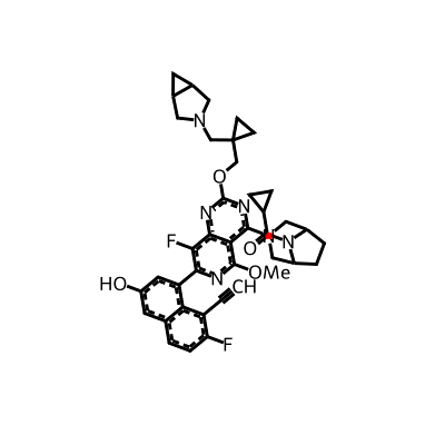 C#Cc1c(F)ccc2cc(O)cc(-c3nc(OC)c4c(N5CC6CCC(C5)N6C(=O)C5CC5)nc(OCC5(CN6CC7CC7C6)CC5)nc4c3F)c12